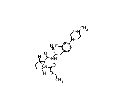 CCOC(=O)N1[C@@H]2CC[C@@H](C2)[C@H]1C(=O)N[C@H](C#N)Cc1ccc(N2CCN(C)CC2)cc1F